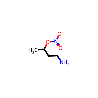 CC(CCN)O[N+](=O)[O-]